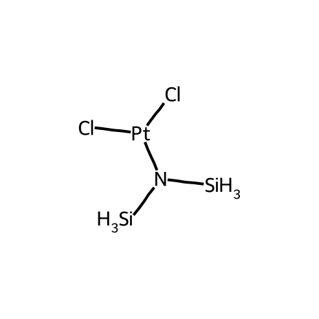 [SiH3][N]([SiH3])[Pt]([Cl])[Cl]